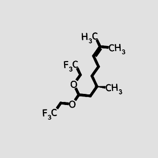 CC(C)=CCC[C@@H](C)CC(OCC(F)(F)F)OCC(F)(F)F